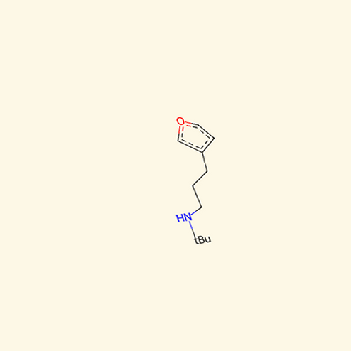 CC(C)(C)NCCCc1ccoc1